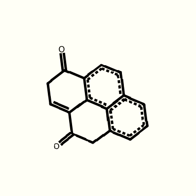 O=C1Cc2cccc3ccc4c(c23)C1=CCC4=O